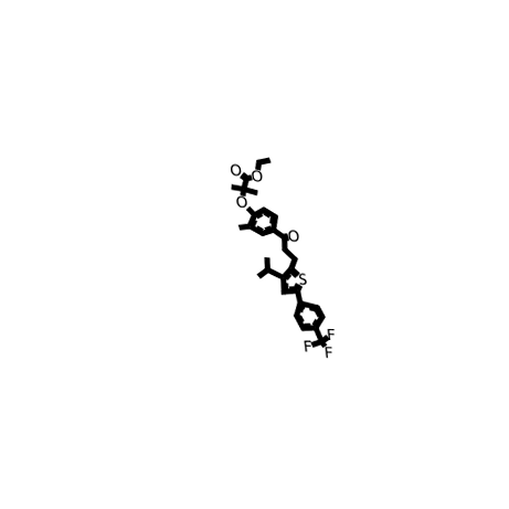 CCOC(=O)C(C)(C)Oc1ccc(C(=O)CCc2sc(-c3ccc(C(F)(F)F)cc3)cc2C(C)C)cc1C